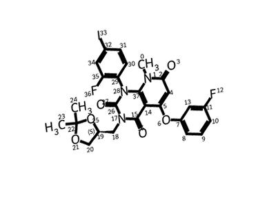 Cn1c(=O)cc(Oc2cccc(F)c2)c2c(=O)n(C[C@H]3COC(C)(C)O3)c(=O)n(-c3ccc(I)cc3F)c21